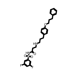 O=C(CCNCCCc1ccc(OCCCc2ccccc2)cc1)NS(=O)(=O)c1cc(F)cc(F)c1